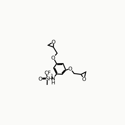 C[SH](=O)(Nc1cc(OCC2CO2)cc(OCC2CO2)c1)C(F)(F)F